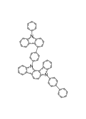 c1ccc(-c2ccc(-n3c4ccccc4c4c3ccc3c5ccccc5n(-c5ccc(-c6cccc7c6c6ccccc6n7-c6ccccc6)cc5)c34)cc2)cc1